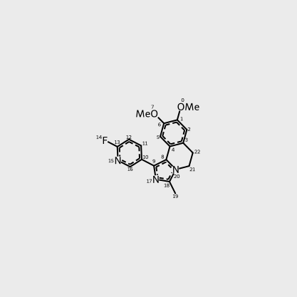 COc1cc2c(cc1OC)-c1c(-c3ccc(F)nc3)nc(C)n1CC2